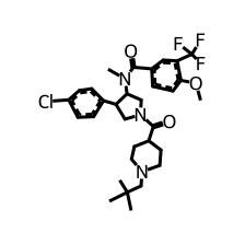 COc1ccc(C(=O)N(C)C2CN(C(=O)C3CCN(CC(C)(C)C)CC3)CC2c2ccc(Cl)cc2)cc1C(F)(F)F